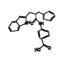 O=C(O)c1ccc(NC(=O)C(Cc2ccccc2)Cc2cc3ccccc3[nH]2)cc1